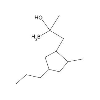 BC(C)(O)CC1CC(CCC)CC1C